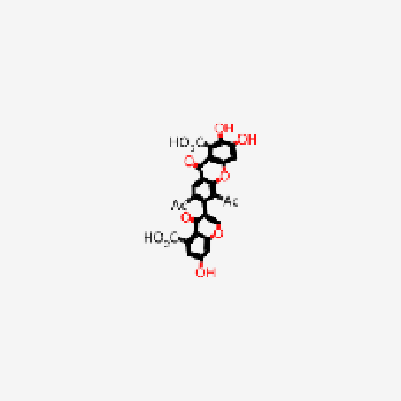 CC(=O)c1cc2c(=O)c3c(C(=O)O)c(O)c(O)cc3oc2c(C(C)=O)c1-c1coc2cc(O)cc(C(=O)O)c2c1=O